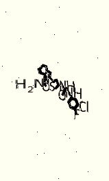 NC(=O)n1c(-c2cc(NC(=O)Nc3ccc(F)c(Cl)c3)cs2)cc2ccccc21